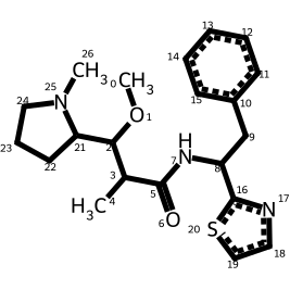 COC(C(C)C(=O)NC(Cc1ccccc1)c1nccs1)C1CCCN1C